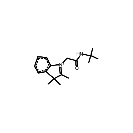 CC1=[N+](CC(=O)NC(C)(C)C)c2ccccc2C1(C)C